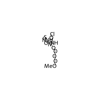 COCCOCCOCCOc1ccc(-c2nc(C(=O)Nc3nccs3)c(-c3ccc(Cl)cc3)[nH]2)cc1